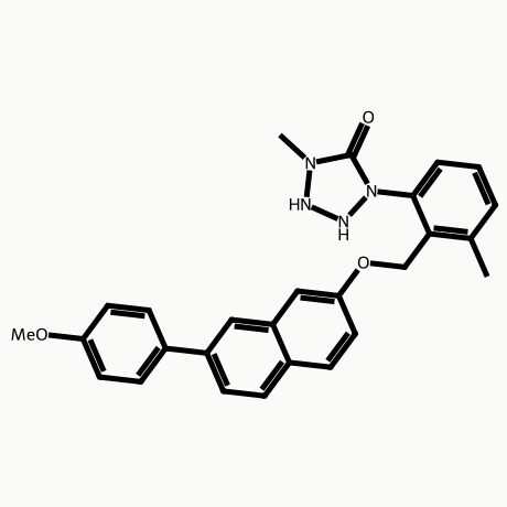 COc1ccc(-c2ccc3ccc(OCc4c(C)cccc4N4NNN(C)C4=O)cc3c2)cc1